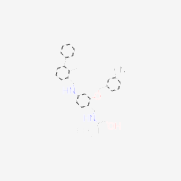 Cc1c(CNc2ccc(CNC(CO)C(=O)O)c(OCc3cccc(C#N)c3)c2)cccc1-c1ccccc1